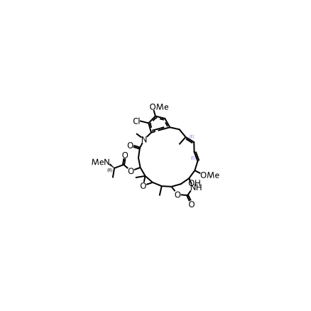 CN[C@H](C)C(=O)OC1CC(=O)N(C)c2cc(cc(OC)c2Cl)C/C(C)=C/C=C/C(OC)C2(O)CC(OC(=O)N2)C(C)C2OC12C